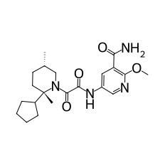 COc1ncc(NC(=O)C(=O)N2C[C@@H](C)CC[C@@]2(C)C2CCCC2)cc1C(N)=O